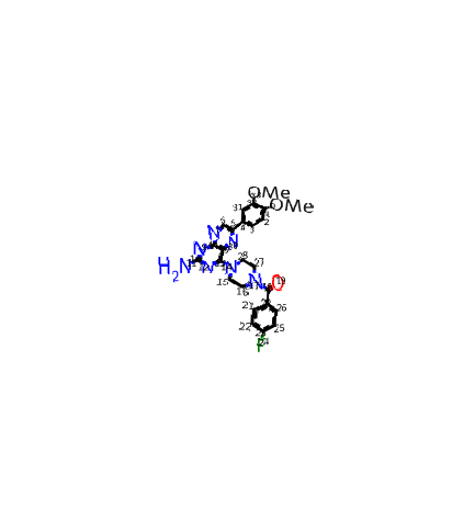 COc1ccc(-c2cnc3nc(N)nc(N4CCN(C(=O)c5ccc(F)cc5)CC4)c3n2)cc1OC